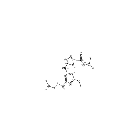 CCc1nc(NCCN(C)C)nc(Nc2ncc(C(=O)NC(C)C)o2)n1